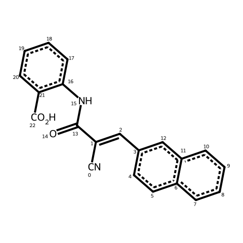 N#C/C(=C\c1ccc2ccccc2c1)C(=O)Nc1ccccc1C(=O)O